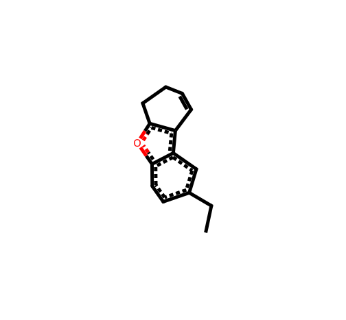 CCc1ccc2oc3c(c2c1)C=CCC3